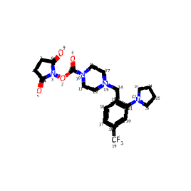 O=C(ON1C(=O)CCC1=O)N1CCN(Cc2ccc(C(F)(F)F)cc2N2CCCC2)CC1